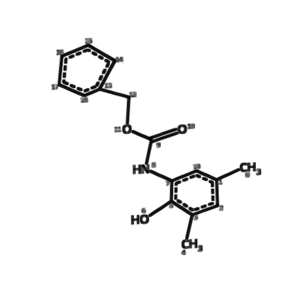 Cc1cc(C)c(O)c(NC(=O)OCc2ccccc2)c1